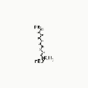 CCCCN(C)CCCCCCCCCCC(C)C